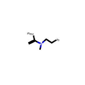 C=C(C(C)CCC)N(C)CCC(C)C